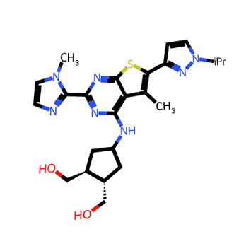 Cc1c(-c2ccn(C(C)C)n2)sc2nc(-c3nccn3C)nc(NC3C[C@H](CO)[C@@H](CO)C3)c12